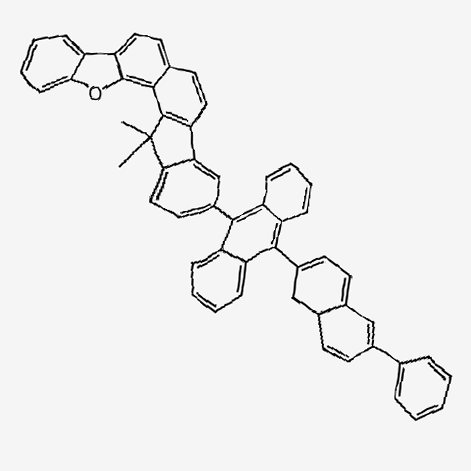 CC1(C)c2ccc(-c3c4ccccc4c(C4=CC=C5C=C(c6ccccc6)C=CC5C4)c4ccccc34)cc2-c2ccc3ccc4c5ccccc5oc4c3c21